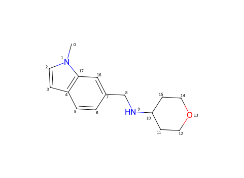 Cn1ccc2ccc(CNC3CCOCC3)cc21